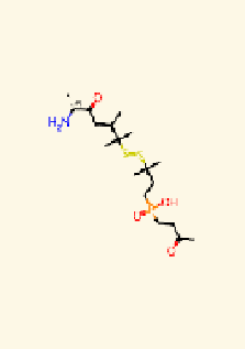 CC(=O)CCP(=O)(O)CCC(C)(C)SSC(C)(C)C(C)CC(=O)[C@@H](C)N